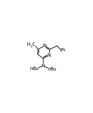 CCCCN(CCCC)c1cc(C)nc(CC(C)C)n1